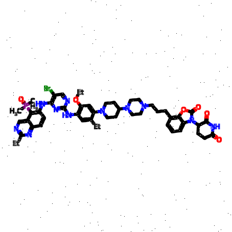 CCOc1cc(N2CCC(N3CCN(CCCc4cccc5c4oc(=O)n5C4CCC(=O)NC4=O)CC3)CC2)c(CC)cc1Nc1ncc(Br)c(Nc2ccc3nc(CC)ncc3c2P(C)(C)=O)n1